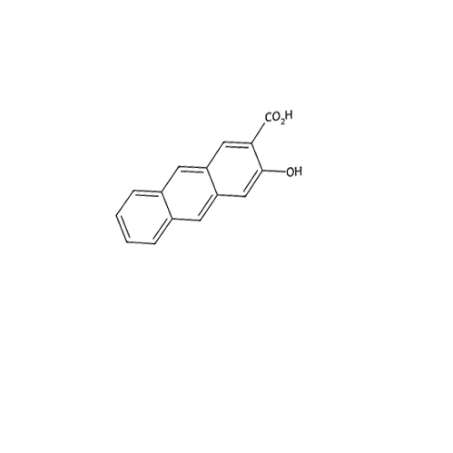 O=C(O)c1cc2cc3ccccc3cc2cc1O